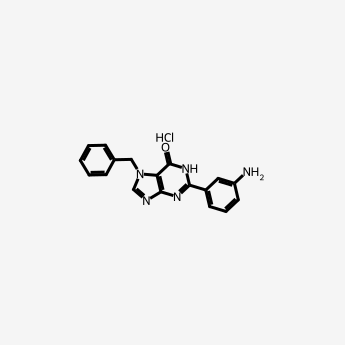 Cl.Nc1cccc(-c2nc3ncn(Cc4ccccc4)c3c(=O)[nH]2)c1